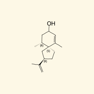 C=C(C)[C@@H]1CC[C@@]2(C1)C(C)=CC(O)C[C@H]2C